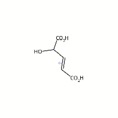 O=C(O)/C=C/C(O)C(=O)O